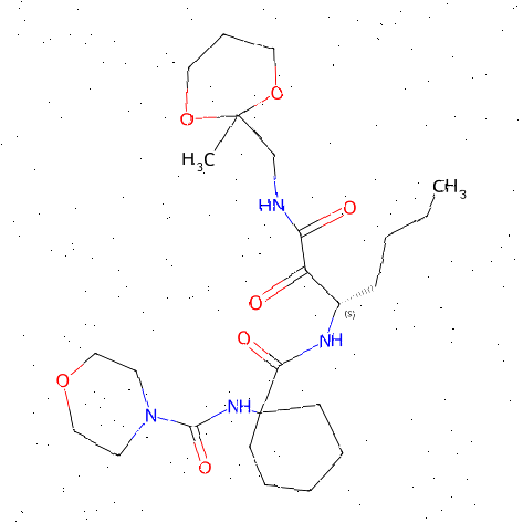 CCCC[C@H](NC(=O)C1(NC(=O)N2CCOCC2)CCCCC1)C(=O)C(=O)NCC1(C)OCCCO1